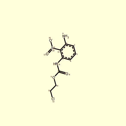 Nc1cccc(NC(=O)OCCCl)c1[N+](=O)[O-]